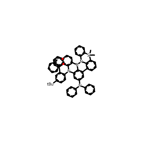 CC(C)(C)c1ccc(N2c3cc(N(c4ccccc4)c4ccccc4)cc4c3B(c3ccc5oc6ccccc6c5c32)N2c3ccccc3[Si](C)(C)c3cccc-4c32)c(-c2ccccc2)c1